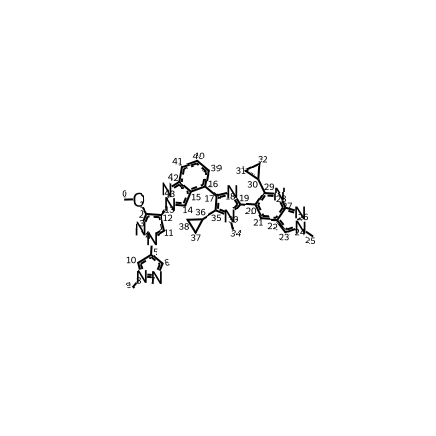 COc1nn(-c2cnn(C)c2)cc1-n1cc2c(-c3nc(-c4cc5cn(C)nc5nc4C4CC4)n(C)c3C3CC3)cccc2n1